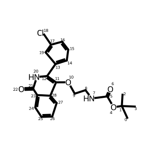 CC(C)(C)OC(=O)NCCOc1c(-c2cccc(Cl)c2)[nH]c(=O)c2ccccc12